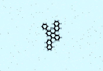 Pc1c(-c2ccccc2)ccc2c(-c3ccc4ccccc4c3)c3ccccc3c(-c3ccc4ccccc4c3)c12